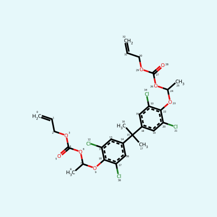 C=CCOC(=O)OC(C)Oc1c(Cl)cc(C(C)(C)c2cc(Cl)c(OC(C)OC(=O)OCC=C)c(Cl)c2)cc1Cl